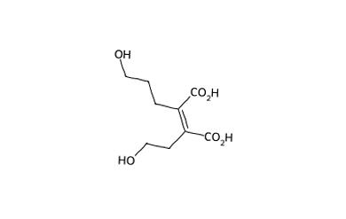 O=C(O)/C(CCO)=C(/CCCO)C(=O)O